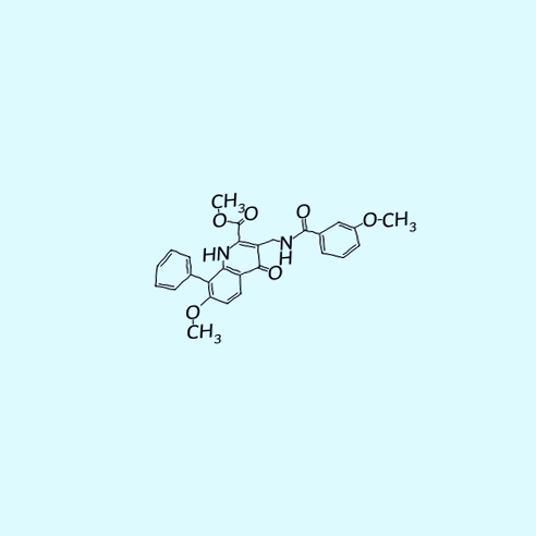 COC(=O)c1[nH]c2c(-c3ccccc3)c(OC)ccc2c(=O)c1CNC(=O)c1cccc(OC)c1